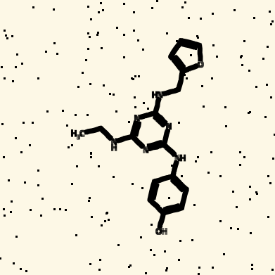 CCNc1nc(NCc2ccco2)nc(Nc2ccc(O)cc2)n1